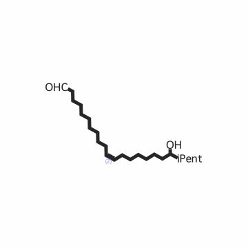 CCCC(C)C(O)CCCCCC/C=C\CCCCCCCCCC=O